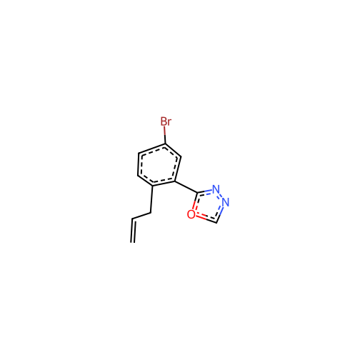 C=CCc1ccc(Br)cc1-c1nnco1